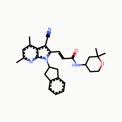 Cc1cc(C)c2c(C#N)c(C=CC(=O)NC3CCOC(C)(C)C3)n(C3Cc4ccccc4C3)c2n1